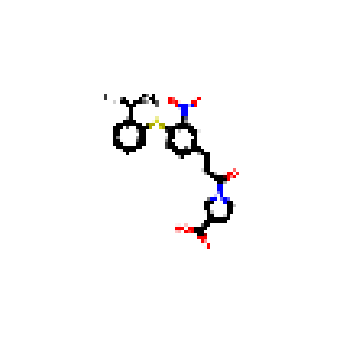 CC(C)c1ccccc1Sc1ccc(C=CC(=O)N2CCC(C(=O)O)C2)cc1[N+](=O)[O-]